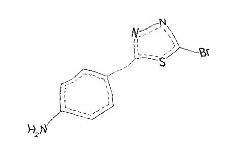 Nc1ccc(-c2nnc(Br)s2)cc1